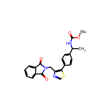 CC(NC(=O)OC(C)(C)C)c1ccc(-c2scnc2CN2C(=O)c3ccccc3C2=O)cc1